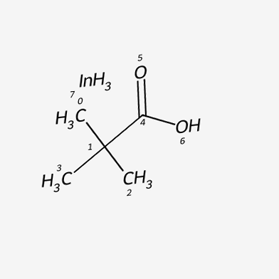 CC(C)(C)C(=O)O.[InH3]